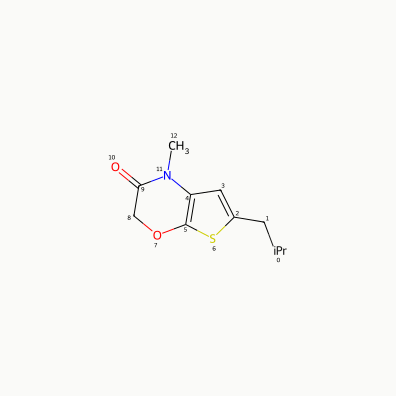 CC(C)Cc1cc2c(s1)OCC(=O)N2C